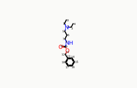 CCN(CC)CCCNC(=O)OCc1ccccc1